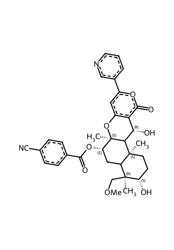 COC[C@@]1(C)C2C[C@H](OC(=O)c3ccc(C#N)cc3)[C@@]3(C)Oc4cc(-c5cccnc5)oc(=O)c4[C@H](O)C3[C@@]2(C)CC[C@@H]1O